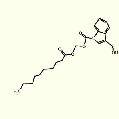 CCCCCCCCCC(=O)OCOC(=O)n1cc(CO)c2ccccc21